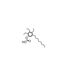 CCCCCCCCc1cc(OC(=O)O)c(CC)c(CC)c1CC